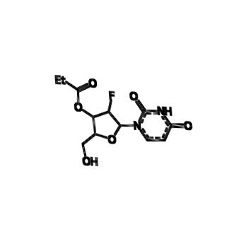 CCC(=O)OC1C(CO)OC(n2ccc(=O)[nH]c2=O)C1F